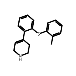 Cc1ccccc1Sc1ccccc1C1=CCNCC1